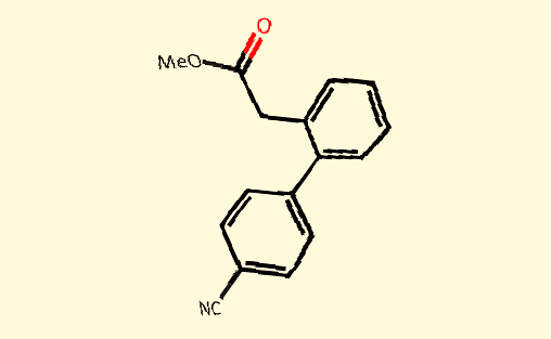 COC(=O)Cc1ccccc1-c1ccc(C#N)cc1